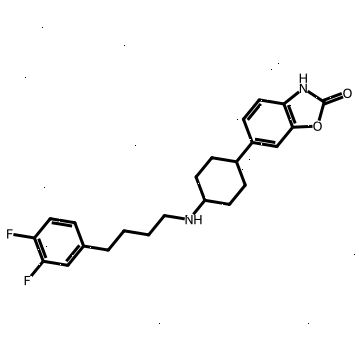 O=c1[nH]c2ccc(C3CCC(NCCCCc4ccc(F)c(F)c4)CC3)cc2o1